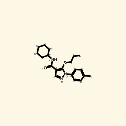 CCCSc1c(C(=O)NC2CCCCC2)cnn1-c1ccc(C)cc1